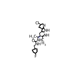 CC(=N)/C(Cc1c[nH]c2ncc(Cl)cc12)=C(/C)NC(=O)NCc1ccc(F)cc1